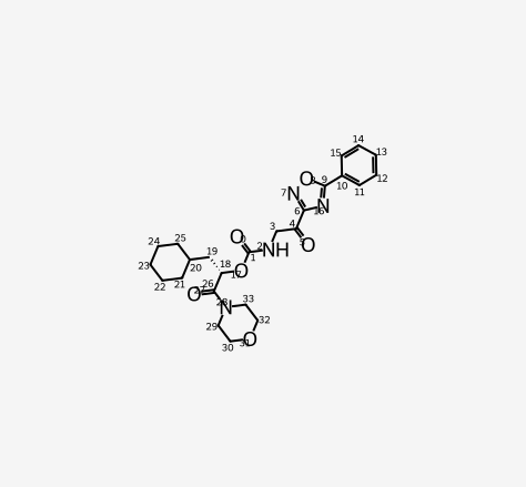 O=C(NCC(=O)c1noc(-c2ccccc2)n1)O[C@@H](CC1CCCCC1)C(=O)N1CCOCC1